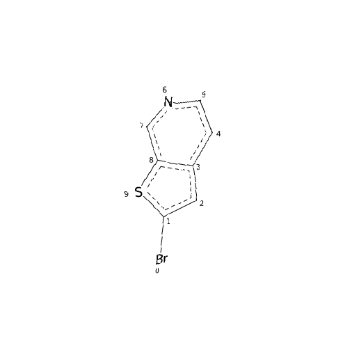 Brc1cc2ccncc2s1